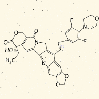 CC[C@@]1(O)C(=O)OCc2c1cc1n(c2=O)Cc2c-1nc1cc3c(cc1c2/C=C/c1cc(F)c(N2CCOCC2)c(F)c1)OCO3